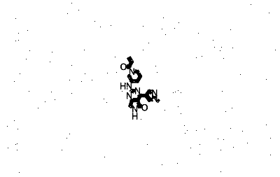 C=CC(=O)N1CCCC(Nc2nc3c(c(-c4cnn(C)c4)n2)C(=O)NC3)C1